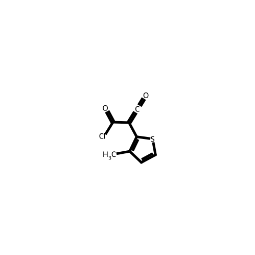 Cc1ccsc1C(=C=O)C(=O)Cl